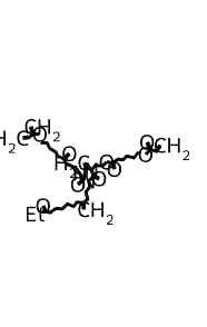 C=CC(=C)OCCCCCC(=O)CCCN1C(=C)N(CCOC(=O)CCCCCOC(=O)C=C)C(=O)N(CCCC(=C)CCCCCCC(=O)CC)C1=O